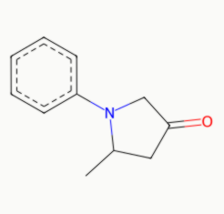 CC1CC(=O)CN1c1ccccc1